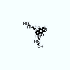 O=C1c2cnncc2C(=O)c2c(NCCNCCO)ccc(NCCNCCO)c21